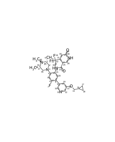 C[C@@H]1CN(c2cc(F)c(-c3cncc(OCC4CC4)c3)cc2NC(=O)c2c[nH]c(=O)cc2C(F)(F)F)C[C@H](C)N1C